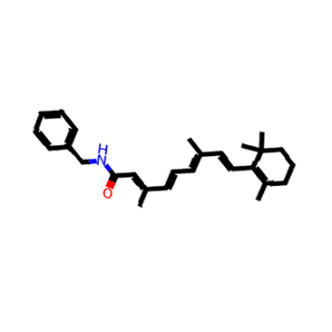 CC(C=CC1=C(C)CCCC1(C)C)=CC=CC(C)=CC(=O)NCc1ccccc1